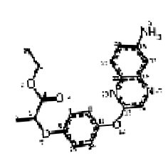 CCOC(=O)C(C)Oc1ccc(Oc2cnc3cc(N)ccc3n2)cc1